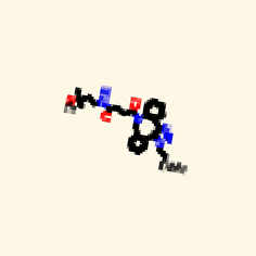 CCOC(C)(C)CCNC(=O)CCC(=O)N1Cc2ccccc2-c2c(nnn2CCOC)-c2ccccc21